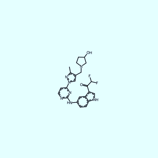 Cc1nn(-c2ccnc(Nc3ccc4[nH]cc(C(=O)C(F)F)c4c3)n2)cc1CN1CCC(O)C1